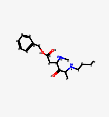 CCCCNC(C)C(=O)C(CC(=O)OCc1ccccc1)NC